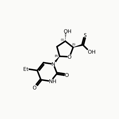 CCc1cn([C@H]2C[C@H](O)[C@@H](C(O)=S)O2)c(=O)[nH]c1=O